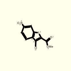 COC(=O)c1sc2cc([N+](=O)[O-])ccc2c1Cl